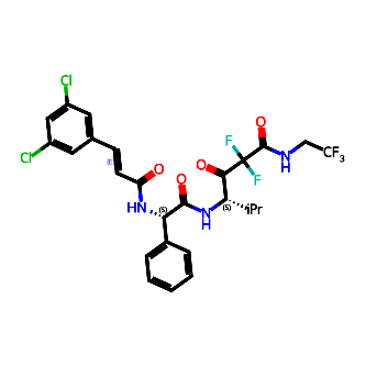 CC(C)[C@H](NC(=O)[C@@H](NC(=O)/C=C/c1cc(Cl)cc(Cl)c1)c1ccccc1)C(=O)C(F)(F)C(=O)NCC(F)(F)F